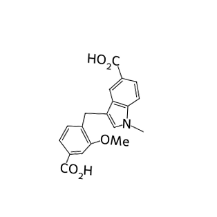 COc1cc(C(=O)O)ccc1Cc1cn(C)c2ccc(C(=O)O)cc12